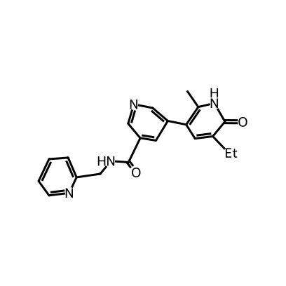 CCc1cc(-c2cncc(C(=O)NCc3ccccn3)c2)c(C)[nH]c1=O